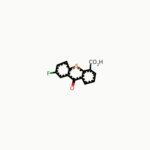 O=C(O)c1cccc2c(=O)c3cc(F)ccc3sc12